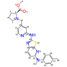 COC(=O)[C@@H]1CCCN1Cc1ccnc(Nc2nc3ccc(N(C)c4ccc(C)cc4)nc3s2)c1